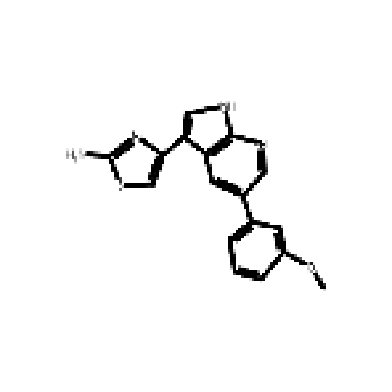 COc1cccc(-c2cnc3[nH]cc(-c4csc(N)n4)c3c2)c1